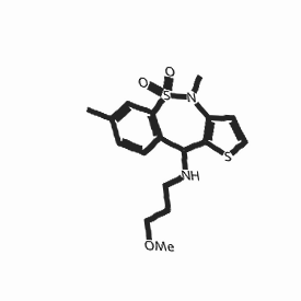 COCCCNC1c2ccc(C)cc2S(=O)(=O)N(C)c2ccsc21